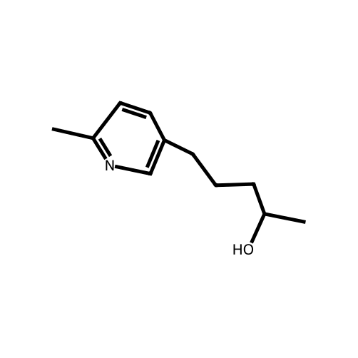 Cc1ccc(CCCC(C)O)cn1